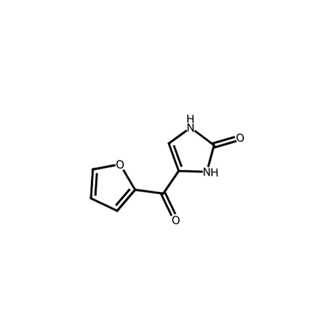 O=C(c1c[nH]c(=O)[nH]1)c1ccco1